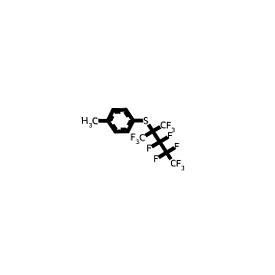 Cc1ccc(SC(C(F)(F)F)(C(F)(F)F)C(F)(F)C(F)(F)C(F)(F)F)cc1